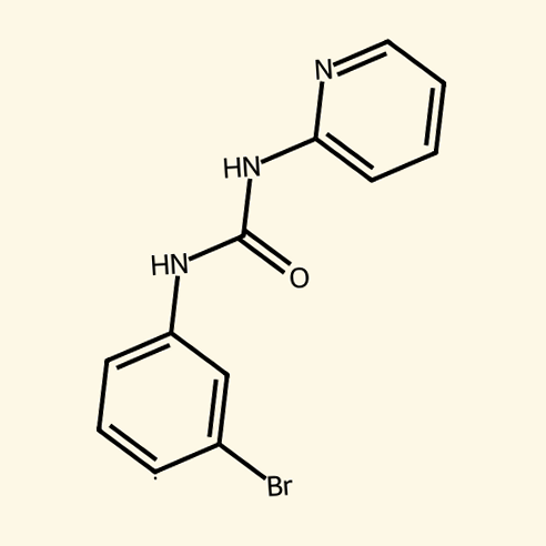 O=C(Nc1cc[c]c(Br)c1)Nc1ccccn1